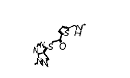 CNCc1ccc(C(=O)CSc2ncnc3c2cnn3C)s1